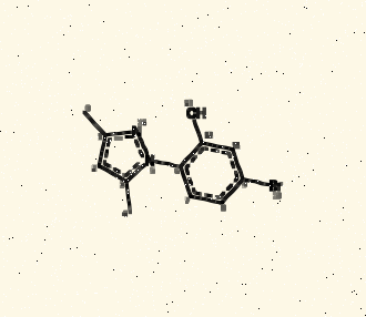 Cc1cc(C)n(-c2ccc(Br)cc2O)n1